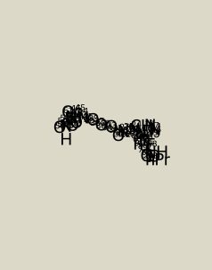 CCCS(=O)(=O)Nc1ccc(F)c(-n2cc(-c3cncnc3)c3nc(N(C)C4CCN(C(=O)CCOCCOCCOCCNc5cccc6c5C(=O)N(C5CCC(=O)NC5=O)C6=O)CC4)ccc32)c1F